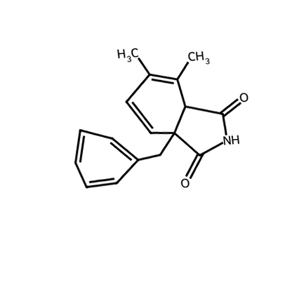 CC1=C(C)C2C(=O)NC(=O)C2(Cc2ccccc2)C=C1